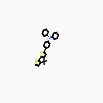 CC1(C)c2ccsc2-c2sc(-c3ccc(N(c4ccccc4)c4ccccc4)cc3)cc21